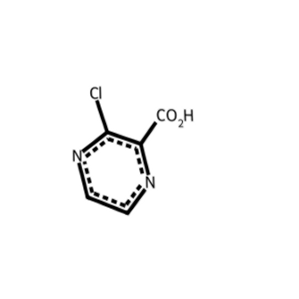 O=C(O)c1nccnc1Cl